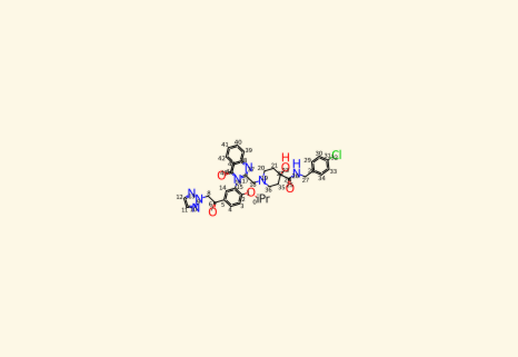 CC(C)Oc1ccc(C(=O)Cn2nccn2)cc1-n1c(CN2CCC(O)(C(=O)NCc3ccc(Cl)cc3)CC2)nc2ccccc2c1=O